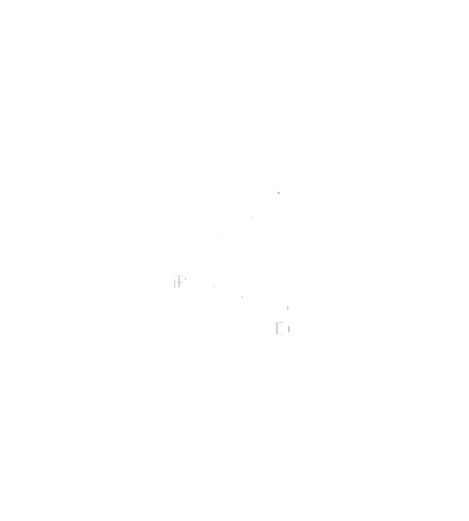 CCOc1cc([C](C)C)cc(C2CC2)c1